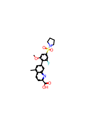 COc1cc(S(=O)(=O)N2CCCC2)cc(F)c1-c1cc(C)c2ccc(C(=O)O)nc2c1